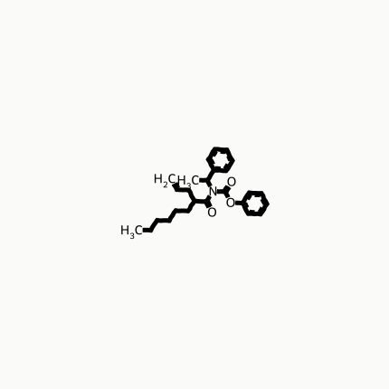 C=CCC(CCCCCC)C(=O)N(C(=O)Oc1ccccc1)C(C)c1ccccc1